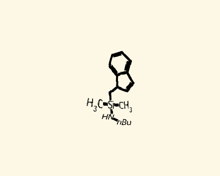 CCCCN[Si](C)(C)CC1C=Cc2ccccc21